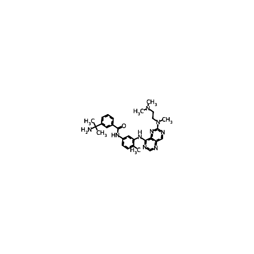 Cc1ccc(NC(=O)c2cccc(C(C)(C)N)c2)cc1Nc1ncnc2cnc(N(C)CCN(C)C)nc12